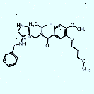 COCCCOc1cc(C(=O)N(C[C@@H]2CNC[C@@H]2NCc2ccccc2)C(C)C)ccc1OC